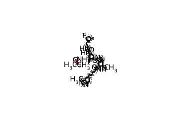 CC(C)C(N)=O.COc1cc2ncnc(Oc3ccc(NC(=O)NCCc4cccc(F)c4)cc3F)c2cc1NC(=O)CCCCc1ccc2ncnc(C)c2c1